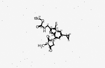 CN1C(=O)CN(c2cc(C3CC3)cn3c(F)c(CNC(=O)OC(C)(C)C)nc23)C1=O